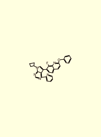 Fc1c(-c2cn(C3CCC3)c3ncnc(-c4ccccn4)c23)ccc2ccc(Oc3ccccc3)nc12